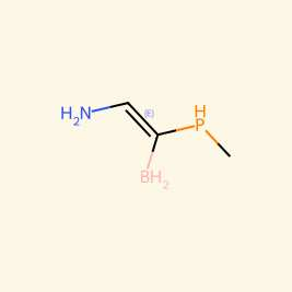 B/C(=C\N)PC